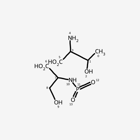 CC(O)C(N)C(=O)O.O=C(O)C(CO)NP(=O)=O